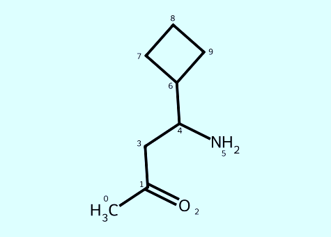 CC(=O)CC(N)C1CCC1